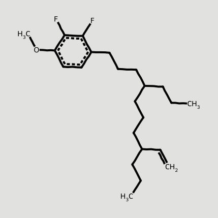 C=CC(CCC)CCCC(CCC)CCCc1ccc(OC)c(F)c1F